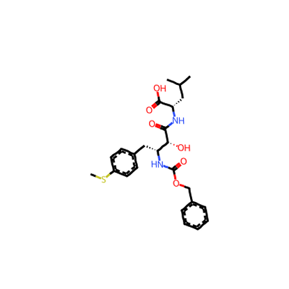 CSc1ccc(C[C@@H](NC(=O)OCc2ccccc2)[C@@H](O)C(=O)N[C@@H](CC(C)C)C(=O)O)cc1